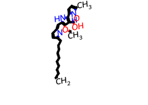 C=CCCCCCCCCCC1=NC(=Cc2[nH]c(-c3ccc(C)[nH]3)c(C(=O)O)c2OCC)C=C1